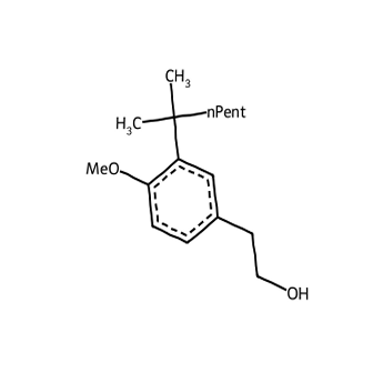 CCCCCC(C)(C)c1cc(CCO)ccc1OC